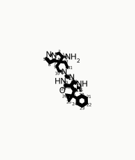 N[C@@H]1Cn2nccc2C12CCN(c1nc3[nH]nc(C4(c5ccccc5)CC4)c3c(=O)[nH]1)CC2